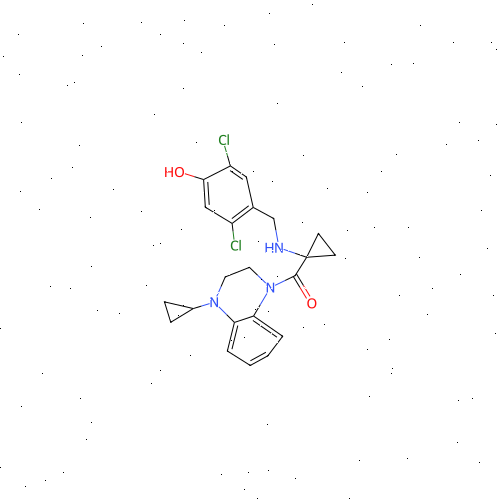 O=C(N1CCN(C2CC2)c2ccccc21)C1(NCc2cc(Cl)c(O)cc2Cl)CC1